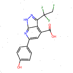 O=C(O)c1cc(-c2ccc(O)cc2)nc2[nH]nc(C(F)(F)CF)c12